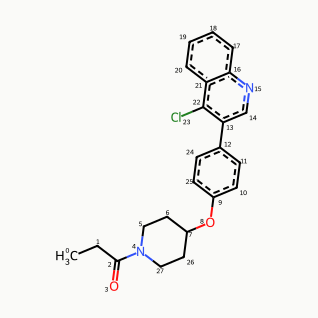 CCC(=O)N1CCC(Oc2ccc(-c3cnc4ccccc4c3Cl)cc2)CC1